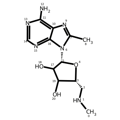 CNC[C@H]1O[C@@H](n2c(C)nc3c(N)ncnc32)C(O)C1O